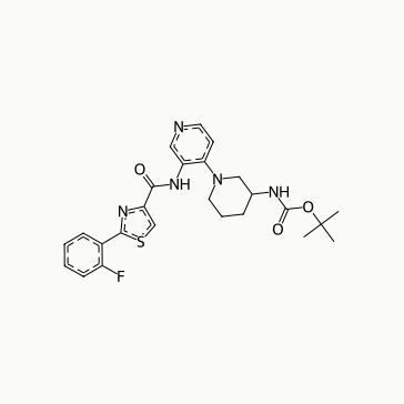 CC(C)(C)OC(=O)NC1CCCN(c2ccncc2NC(=O)c2csc(-c3ccccc3F)n2)C1